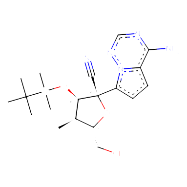 C[C@H]1[C@@H](O[Si](C)(C)C(C)(C)C)[C@](C#N)(c2ccc3c(N)ncnn23)O[C@@H]1CO